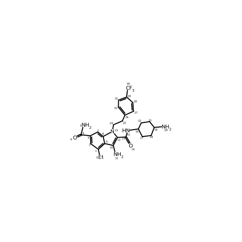 CCc1cc(C(N)=O)cc2c1c(N)c(C(=O)NC1CCC(N)CC1)n2CCc1ccc(C(F)(F)F)cc1